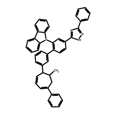 CC1CC(c2ccccc2)=CC=CC1c1cccc(-c2ccc(-c3nc(-c4ccccc4)n[nH]3)cc2-n2c3ccccc3c3ccccc32)c1